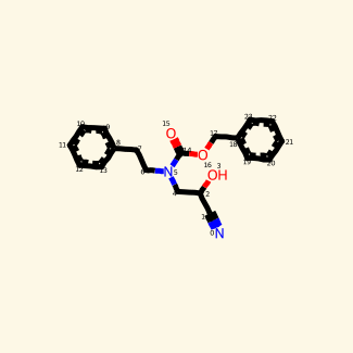 N#CC(O)CN(CCc1ccccc1)C(=O)OCc1ccccc1